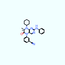 C[C@@H]1C(=O)N(c2cccc(C#N)c2)c2cnc(Nc3ccccc3)nc2N1C1CCCCC1